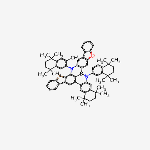 Cc1cc2c(cc1N1c3cc4c(cc3B3c5c(cc6c(sc7ccccc76)c51)-c1cc5c(cc1N3c1ccc3c(c1)C(C)(C)CCC3(C)C)C(C)(C)CCC5(C)C)oc1ccccc14)C(C)(C)CCC2(C)C